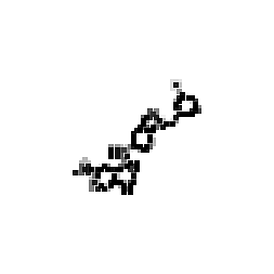 CN(C)c1cc2c(Nc3ccc4c(cnn4Cc4cccc(F)c4)c3)ncnc2cn1